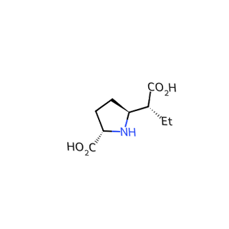 CC[C@@H](C(=O)O)[C@@H]1CC[C@@H](C(=O)O)N1